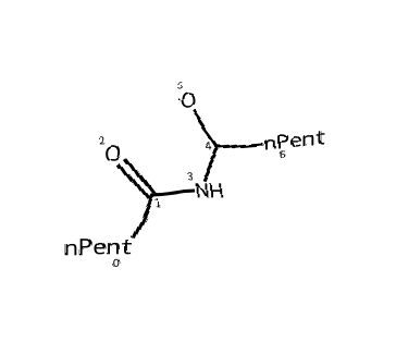 CCCCCC(=O)NC([O])CCCCC